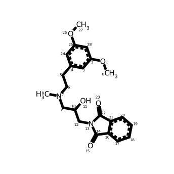 COc1cc(CCN(C)CC(O)CN2C(=O)c3ccccc3C2=O)cc(OC)c1